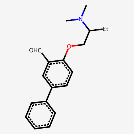 CCC(COc1ccc(-c2ccccc2)cc1C=O)N(C)C